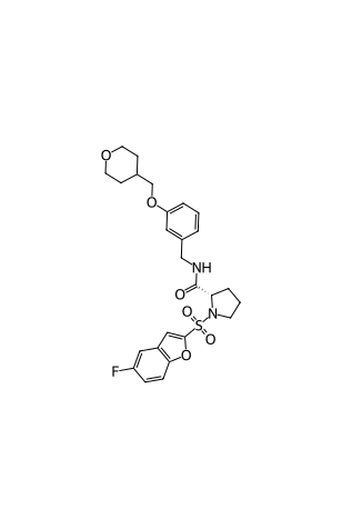 O=C(NCc1cccc(OCC2CCOCC2)c1)[C@@H]1CCCN1S(=O)(=O)c1cc2cc(F)ccc2o1